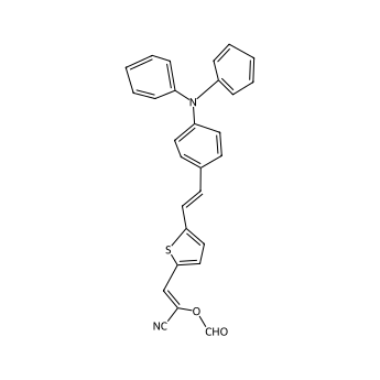 N#C/C(=C/c1ccc(/C=C/c2ccc(N(c3ccccc3)c3ccccc3)cc2)s1)OC=O